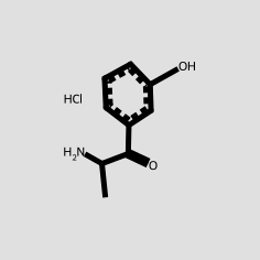 CC(N)C(=O)c1cccc(O)c1.Cl